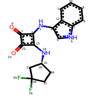 O=c1c(Nc2c[nH]c3ccccc23)c(N[C@H]2CCC(F)(F)C2)c1=O